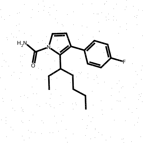 CCCCC(CC)c1c(-c2ccc(F)cc2)ccn1C(N)=O